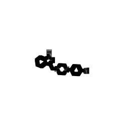 Clc1ccc(N2CCN(Cc3n[nH]c4ccccc34)CC2)cc1